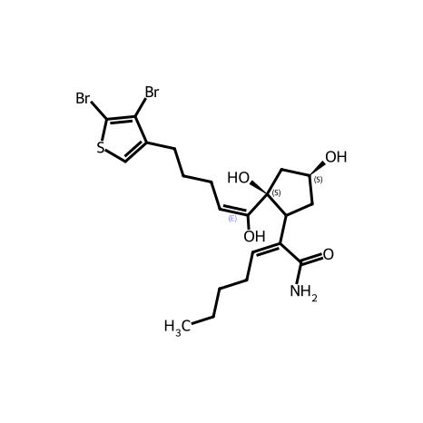 CCCCC=C(C(N)=O)C1C[C@H](O)C[C@@]1(O)/C(O)=C\CCCc1csc(Br)c1Br